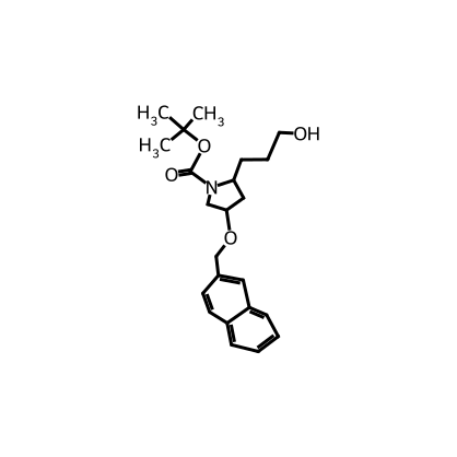 CC(C)(C)OC(=O)N1CC(OCc2ccc3ccccc3c2)CC1CCCO